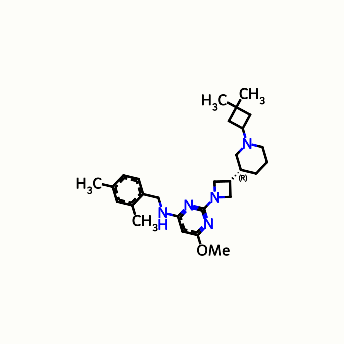 COc1cc(NCc2ccc(C)cc2C)nc(N2CC([C@H]3CCCN(C4CC(C)(C)C4)C3)C2)n1